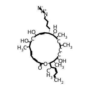 C=C/C=C\[C@H](C)[C@@H]1OC(=O)/C=C\C=C\[C@@H](C)[C@@H](O)C[C@H](O)/C=C\[C@H](CCCCN=[N+]=[N-])[C@H](O)[C@@H](C)C[C@@H](C)CC[C@@H](O)[C@@H]1C